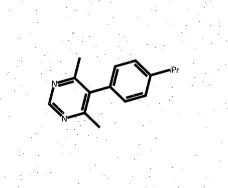 Cc1ncnc(C)c1-c1ccc(C(C)C)cc1